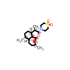 C[C@H]1[C@H](N2CCS(=O)(=O)CC2)O[C@@H]2O[C@]3(C)CC[C@H]4[C@H](C)CC[C@@H]1[C@@]24OO3